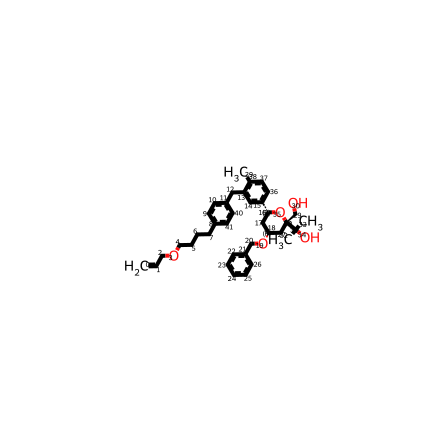 C=CCOCCCCc1ccc(Cc2cc([C@H]3C[C@@H](OCc4ccccc4)C[C@@](CO)(C(C)(C)O)O3)ccc2C)cc1